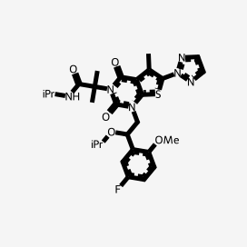 COc1ccc(F)cc1C(Cn1c(=O)n(C(C)(C)C(=O)NC(C)C)c(=O)c2c(C)c(-n3nccn3)sc21)OC(C)C